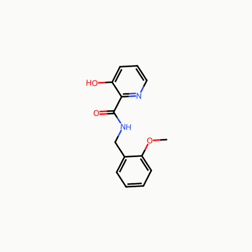 COc1ccccc1CNC(=O)c1ncccc1O